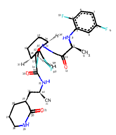 C[C@H](Nc1cc(F)ccc1F)C(=O)N1[C@@H]2CC[C@H]([C@@H]1C(=O)N[C@@H](C#N)C[C@@H]1CCCNC1=O)C(F)(F)C2